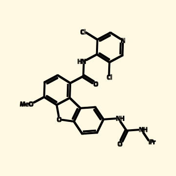 COc1ccc(C(=O)Nc2c(Cl)cncc2Cl)c2c1oc1ccc(NC(=O)NC(C)C)cc12